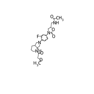 COCC(=O)N1CCCC2CN(c3ccc(N4CC(CNC(C)=O)OC4=O)cc3F)C[C@@H]21